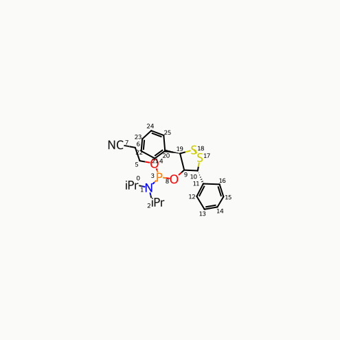 CC(C)N(C(C)C)P(OCCC#N)OC1[C@@H](c2ccccc2)SS[C@@H]1c1ccccc1